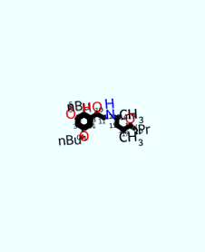 CCCCOc1cc(OCCCC)cc(C(O)CNC(C)CC(C)C(=O)C(C)C)c1